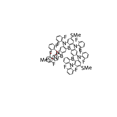 CSc1cc2c3c(c1)N(c1c(F)cccc1F)c1cc4c(cc1B3c1ccccc1N2c1c(F)cccc1F)B1c2cc3c(cc2N(c2c(F)cccc2F)c2cc(SC)cc(c21)N4c1c(F)cccc1F)N(c1c(F)cccc1F)c1cc(SC)cc2c1B3c1ccccc1N2c1c(F)cccc1F